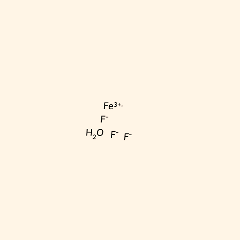 O.[F-].[F-].[F-].[Fe+3]